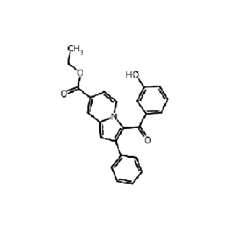 CCOC(=O)c1ccn2c(C(=O)c3cccc(O)c3)c(-c3ccccc3)cc2c1